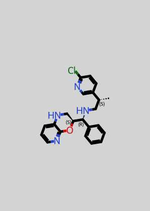 C[C@H](CN[C@H](c1ccccc1)[C@@H]1CNc2cccnc2O1)c1ccc(Cl)nc1